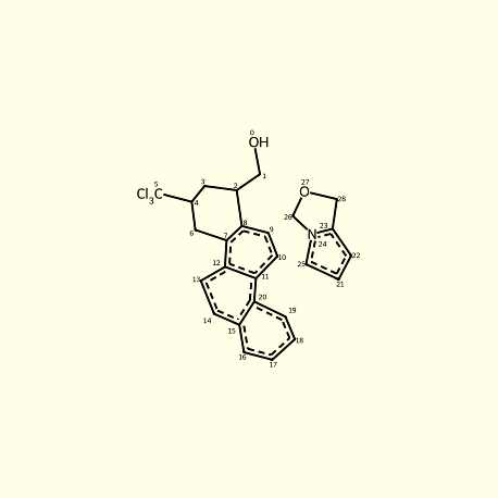 OCC1CC(C(Cl)(Cl)Cl)Cc2c1ccc1c2ccc2ccccc21.c1cc2n(c1)COC2